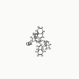 CCC[Si]1(C2[C]([Hf+2][C]3=Cc4ccccc4C3[Si]3(CCC)CCC3)=Cc3ccccc32)CCC1.[Cl-].[Cl-]